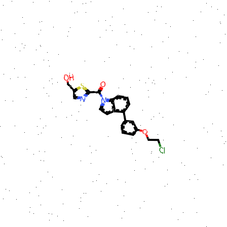 O=C(c1ncc(CO)s1)n1ccc2c(-c3cccc(OCCCl)c3)cccc21